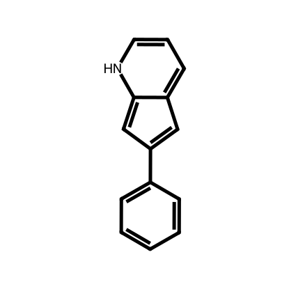 c1ccc(-c2cc3ccc[nH]c-3c2)cc1